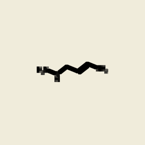 NC=CCNN